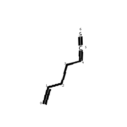 C=CCCC=C=S